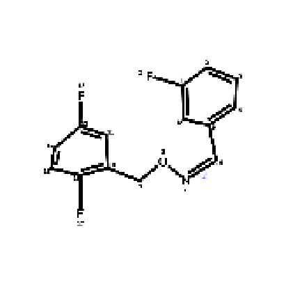 Fc1cccc(/[C]=N\OCc2cc(F)ccc2F)c1